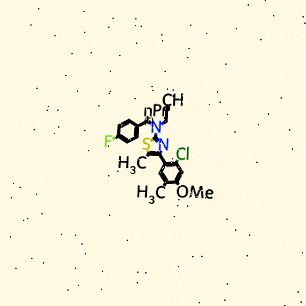 C#CCN(c1nc(-c2cc(C)c(OC)cc2Cl)c(C)s1)[C@@H](CCC)c1ccc(F)cc1